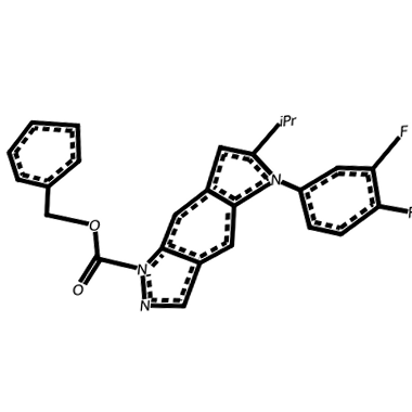 CC(C)c1cc2cc3c(cnn3C(=O)OCc3ccccc3)cc2n1-c1ccc(F)c(F)c1